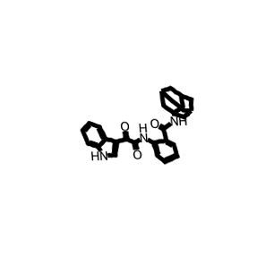 O=C(Nc1ccccc1C(=O)NC12CC3CC(CC(C3)C1)C2)C(=O)c1c[nH]c2ccccc12